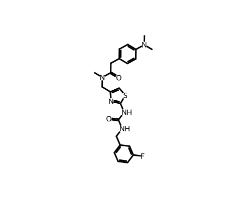 CN(Cc1csc(NC(=O)NCc2cccc(F)c2)n1)C(=O)Cc1ccc(N(C)C)cc1